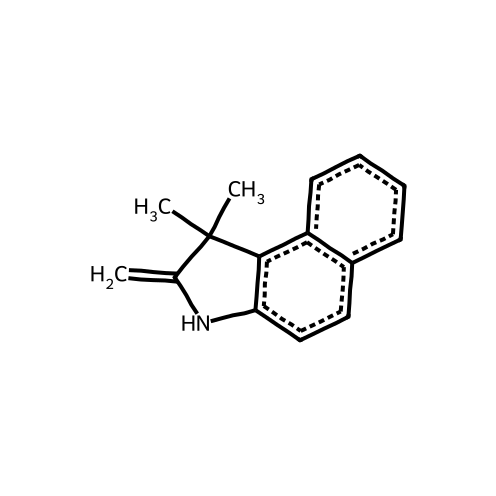 C=C1Nc2ccc3ccccc3c2C1(C)C